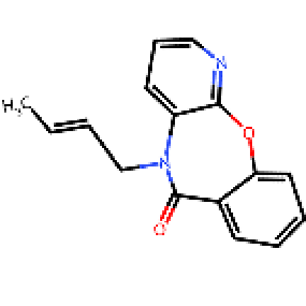 C/C=C/CN1C(=O)c2ccccc2Oc2ncccc21